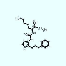 Cl.NCCCCC(NC(=O)Cn1ncnc1CCCc1ccccc1)B(O)O